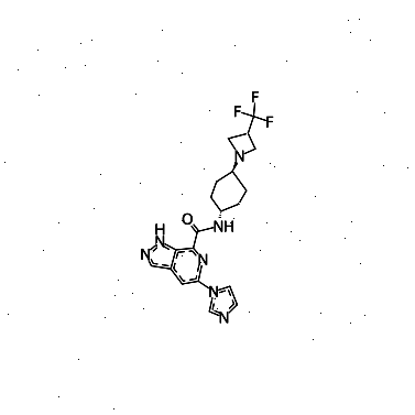 O=C(N[C@H]1CC[C@H](N2CC(C(F)(F)F)C2)CC1)c1nc(-n2ccnc2)cc2cn[nH]c12